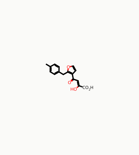 Cc1ccc(Cc2occc2C(=O)/C=C(\O)C(=O)O)cc1